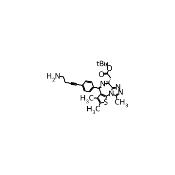 Cc1sc2c(c1C)C(c1ccc(C#CCCN)cc1)=N[C@H](CC(=O)OC(C)(C)C)c1nnc(C)n1-2